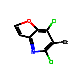 CCc1c(Cl)nc2ccoc2c1Cl